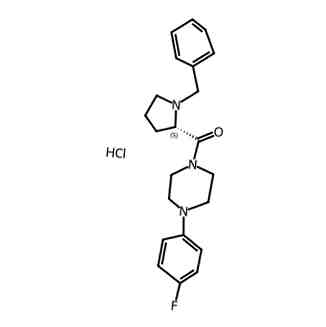 Cl.O=C([C@@H]1CCCN1Cc1ccccc1)N1CCN(c2ccc(F)cc2)CC1